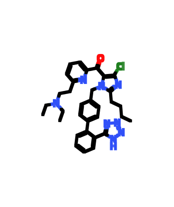 CCCCc1nc(Cl)c(C(=O)c2cccc(CCN(CC)CC)n2)n1Cc1ccc(-c2ccccc2-c2nnn[nH]2)cc1